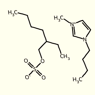 CCCCC(CC)COS(=O)(=O)[O-].CCCCn1cc[n+](C)c1